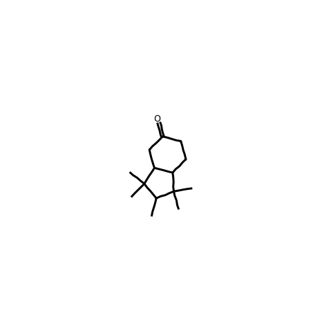 CC1C(C)(C)C2CCC(=O)CC2C1(C)C